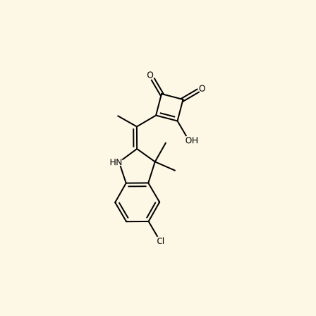 CC(=C1Nc2ccc(Cl)cc2C1(C)C)c1c(O)c(=O)c1=O